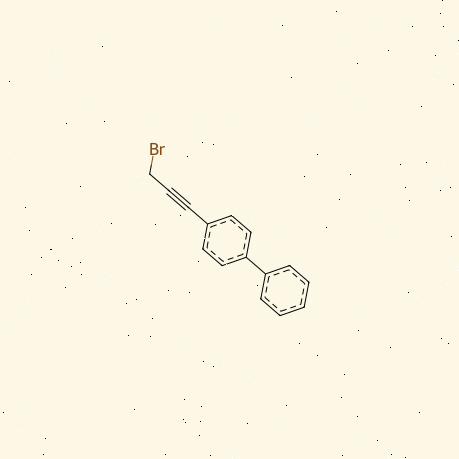 BrCC#Cc1ccc(-c2ccccc2)cc1